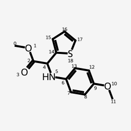 COC(=O)C(Nc1ccc(OC)cc1)c1cccs1